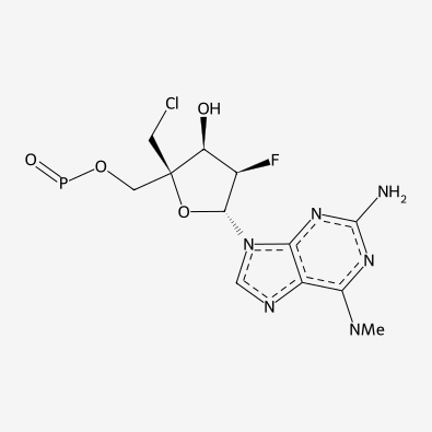 CNc1nc(N)nc2c1ncn2[C@@H]1O[C@](CCl)(COP=O)[C@@H](O)[C@H]1F